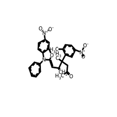 C=C(/C=C1\Oc2cc([N+](=O)[O-])ccc2N1c1ccccc1)C(C)(CC(C)=O)c1cc([N+](=O)[O-])ccc1C